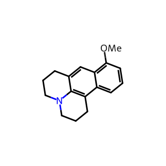 COc1cccc2c3c4c(cc12)CCCN4CCC3